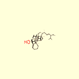 CC[C@H](CC[C@@H](C)[C@H]1CC[C@H]2[C@@H]3C[C@@H](O)C4=CCCC[C@]4(C)[C@H]3CC[C@]12C)C(C)C